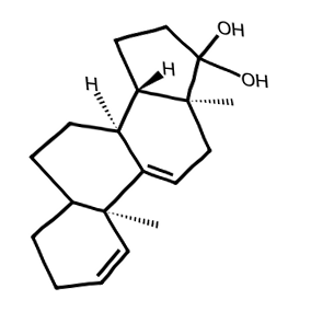 C[C@]12CC=C3[C@@H](CCC4CCC=C[C@]34C)[C@@H]1CCC2(O)O